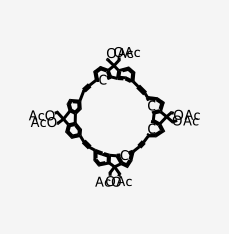 CC(=O)OCC1(COC(C)=O)c2ccc3cc2-c2cc(ccc21)C#Cc1ccc2c(c1)-c1cc(ccc1C2(COC(C)=O)COC(C)=O)C#Cc1ccc2c(c1)-c1cc(ccc1C2(COC(C)=O)COC(C)=O)C#Cc1ccc2c(c1)-c1cc(ccc1C2(COC(C)=O)COC(C)=O)C#C3